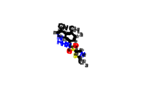 Cc1ccc(NS(=O)(=O)c2cnc(C(F)(F)F)s2)c2[nH]cc(C#N)c12